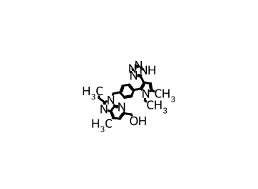 CCc1nc2c(C)cc(CO)nc2n1Cc1ccc(-c2c(-c3nnn[nH]3)cc(C)n2CC)cc1